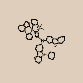 C[Si]1(C)c2ccccc2C2(c3ccccc3-c3cccc4cccc2c34)c2ccc(N(c3ccc4c(c3)sc3ccccc34)c3ccc4c5ccccc5n(-c5ccccc5)c4c3)cc21